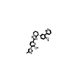 COc1ccc([C@H]2CCCn3nc(-c4ccc(-n5cnc(C)c5)c(OC)n4)nc32)cc1-c1cccnn1